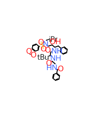 CC(C)CN(CC(O)C(Cc1ccccc1)NC(=O)C(NC(=O)CNC(=O)c1ccccc1)C(C)(C)C)S(=O)(=O)c1ccc2c(c1)OCO2